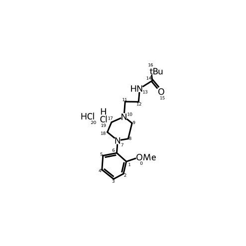 COc1ccccc1N1CCN(CCNC(=O)C(C)(C)C)CC1.Cl.Cl